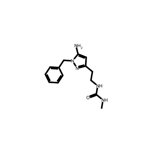 CNC(=O)NCCc1cc(N)n(Cc2ccccc2)n1